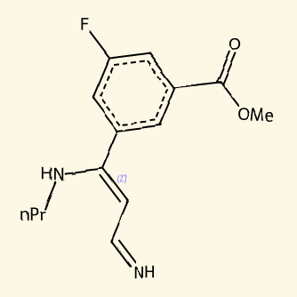 CCCN/C(=C\C=N)c1cc(F)cc(C(=O)OC)c1